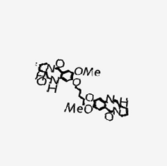 COc1cc2c(cc1OCCCC(C)Oc1cc3c(cc1OC)C(=O)N1CCC[C@@H]1C=N3)NC(=O)[C@@H]1C[C]CN1C2=O